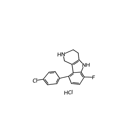 Cl.Fc1ccc(-c2ccc(Cl)cc2)c2c3c([nH]c12)CCNC3